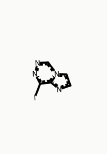 Ic1nncn2ccnc12